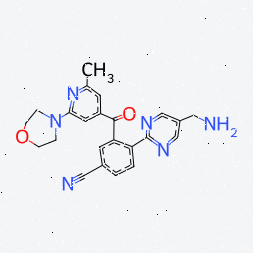 Cc1cc(C(=O)c2cc(C#N)ccc2-c2ncc(CN)cn2)cc(N2CCOCC2)n1